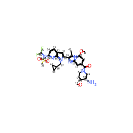 COc1cc(C(=O)N2CC[C@@H](OC)[C@@H](N)C2)cc2nc(-c3cc4ccc(N(C(F)F)S(C)(=O)=O)nc4n3CC3CC3)c(C)n12